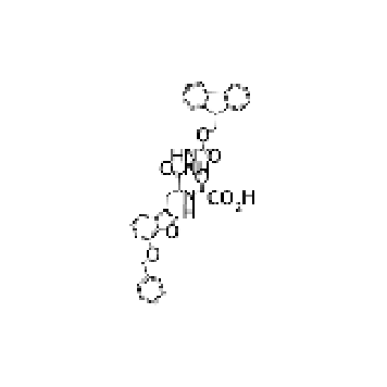 O=C(NNC(=O)C(Cc1coc2c(OCc3ccccc3)cccc12)NC(=O)C(=O)O)OCC1c2ccccc2-c2ccccc21